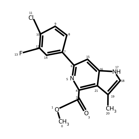 COC(=O)c1nc(-c2ccc(Cl)c(F)c2)cc2[nH]cc(C)c12